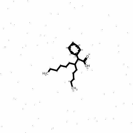 CCCCCCC(CCCCC)C(C(=O)O)c1ccccc1